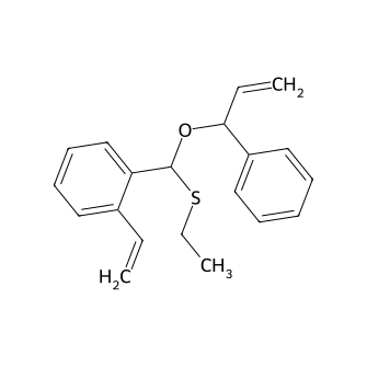 C=Cc1ccccc1C(OC(C=C)c1ccccc1)SCC